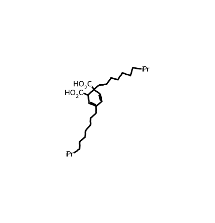 CC(C)CCCCCCCC1=CC(C(=O)O)C(CCCCCCCC(C)C)(C(=O)O)C=C1